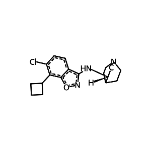 Clc1ccc2c(N[C@@H]3CN4CCC3CC4)noc2c1C1CCC1